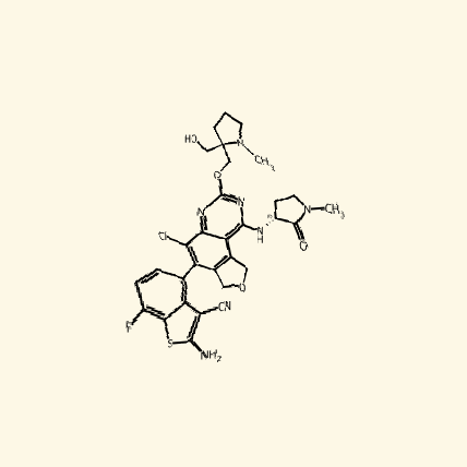 CN1CC[C@@H](Nc2nc(OCC3(CO)CCCN3C)nc3c(Cl)c(-c4ccc(F)c5sc(N)c(C#N)c45)c4c(c23)COC4)C1=O